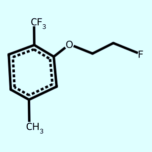 Cc1ccc(C(F)(F)F)c(OCCF)c1